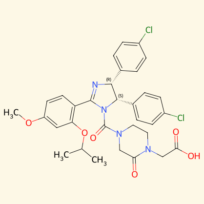 COc1ccc(C2=N[C@H](c3ccc(Cl)cc3)[C@H](c3ccc(Cl)cc3)N2C(=O)N2CCN(CC(=O)O)C(=O)C2)c(OC(C)C)c1